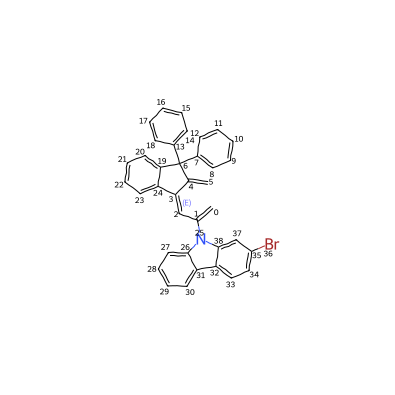 C=C(/C=C1\C(=C)C(c2ccccc2)(c2ccccc2)c2ccccc21)n1c2ccccc2c2ccc(Br)cc21